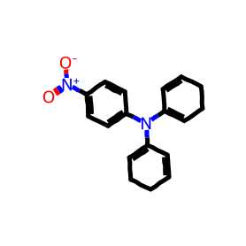 O=[N+]([O-])c1ccc(N(C2=CCCC=C2)C2=CCCC=C2)cc1